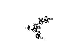 Nc1ncnc2c1ncn2C1OC(COP(=O)(O)O)C(OP(=O)(O)OC[C@@H]2C[C@H](N)C(n3cnc4c(N)ncnc43)O2)C1N